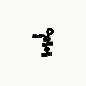 COCc1nc(NC(=O)C2CC(NC#N)C2)sc1C1CCCCC1